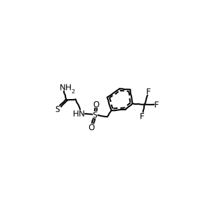 NC(=S)CNS(=O)(=O)Cc1cccc(C(F)(F)F)c1